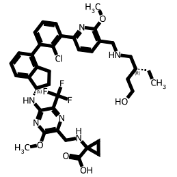 CC[C@H](CCO)CNCc1ccc(-c2cccc(-c3cccc4c3CC[C@@H]4Nc3nc(OC)c(CNC4(C(=O)O)CC4)nc3C(F)(F)F)c2Cl)nc1OC